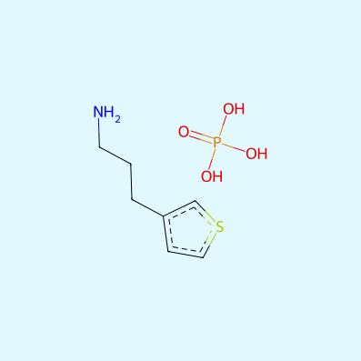 NCCCc1ccsc1.O=P(O)(O)O